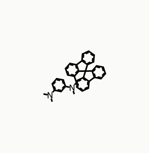 CN(C)c1cccc(N(C)Cc2cccc3c2C2(c4ccccc4-c4ccccc42)c2ccccc2-3)c1